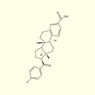 C[C@]12CC[C@@H]3c4ccc(C(=O)O)cc4CC[C@H]3[C@@H]1CC[C@@H]2C(=O)c1ccc(F)cc1